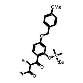 COc1ccc(COc2ccc(C(=O)C(Br)C(=O)C(C)C)c(O[Si](C)(C)C(C)(C)C)c2)cc1